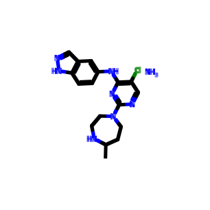 CC1CCN(c2ncc(Cl)c(Nc3ccc4[nH]ncc4c3)n2)CCN1.N